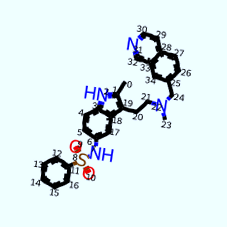 Cc1[nH]c2ccc(NS(=O)(=O)c3ccccc3)cc2c1CCN(C)Cc1ccc2ccncc2c1